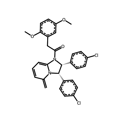 C=C1C=CC=C2N(C(=O)Cc3cc(OC)ccc3OC)[C@H](c3ccc(Cl)cc3)[C@H](c3ccc(Cl)cc3)N12